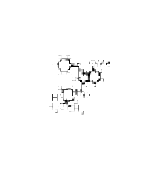 COc1cccc2c(C(=O)N3CCNC(C)(C)C3)cn(CC3CCCCC3)c12